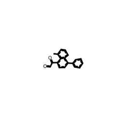 Cc1cccc2c(-c3ccccc3)ccc(C(=O)C=O)c12